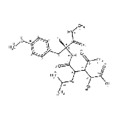 CNC(=O)[C@@](I)(Cc1ccc(OC)cc1)NC(=O)C(CC(C)C)C(C(C)=O)C(S)C(=O)O